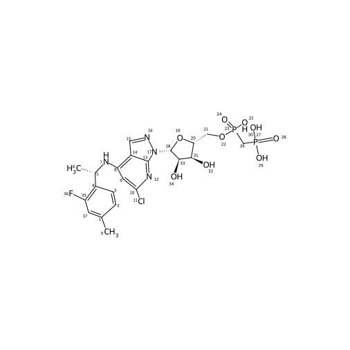 Cc1ccc([C@H](C)Nc2cc(Cl)nc3c2cnn3[C@@H]2O[C@H](COP(=O)(O)CP(=O)(O)O)[C@@H](O)[C@H]2O)c(F)c1